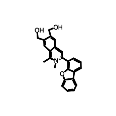 Cc1c2cc(CO)c(CO)cc2cc(-c2cccc3c2oc2ccccc23)[n+]1C